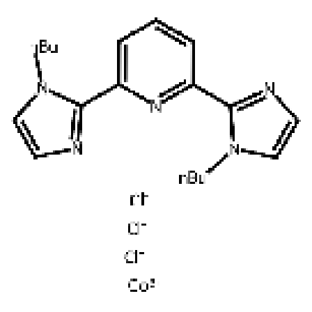 CCCCn1ccnc1-c1cccc(-c2nccn2CCCC)n1.[Cl-].[Cl-].[Cl-].[Co+3]